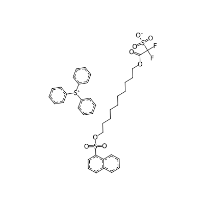 O=C(OCCCCCCCCCCOS(=O)(=O)c1cccc2ccccc12)C(F)(F)S(=O)(=O)[O-].c1ccc([S+](c2ccccc2)c2ccccc2)cc1